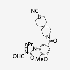 CCCN(C(=O)NC=O)c1cc(C(=O)N2CCC3(CCB(C#N)CC3)CC2)ccc1OC